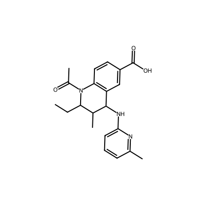 CCC1C(C)C(Nc2cccc(C)n2)c2cc(C(=O)O)ccc2N1C(C)=O